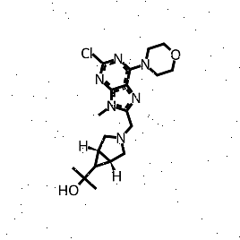 Cn1c(CN2C[C@@H]3C(C(C)(C)O)[C@@H]3C2)nc2c(N3CCOCC3)nc(Cl)nc21